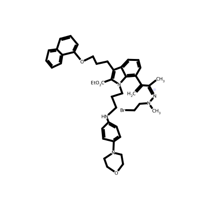 C=C(/C(C)=N\N(C)CCBr)c1cccc2c(CCCOc3cccc4ccccc34)c(C(=O)OCC)n(CCCNc3ccc(N4CCOCC4)cc3)c12